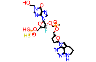 C=Nc1c2c(cn1[C@H]1CC[C@@H](COP(C)(=O)CO[C@@H]3[C@H](F)[C@@H](COP(=O)(O)S)O[C@H]3n3cnc4c(=O)n(CCO)cnc43)O1)CCCN/C2=N/C